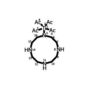 C[C](=O)[Ti]([C](C)=O)([C](C)=O)([C](C)=O)[N]1CCNCCNCCNCC1